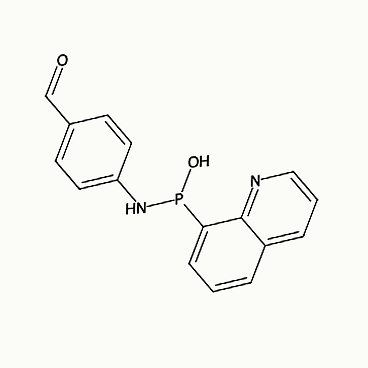 O=Cc1ccc(NP(O)c2cccc3cccnc23)cc1